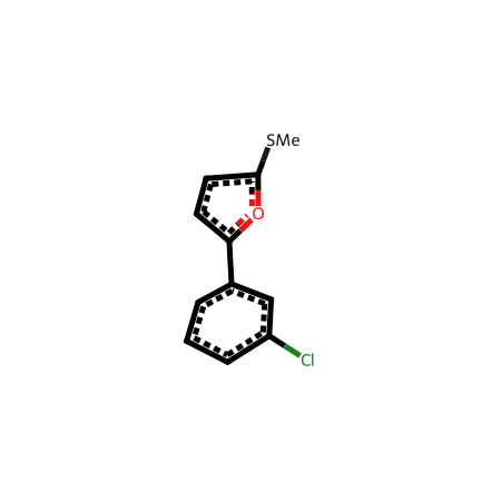 CSc1ccc(-c2cccc(Cl)c2)o1